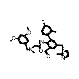 COc1cc(CN(C)CC(=O)Nc2c(C=O)cc(Cn3ccnc3C)cc2-c2ccc(F)cc2C)cc(OC)c1